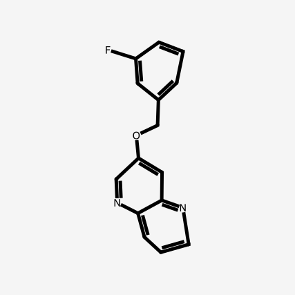 Fc1cccc(COc2cnc3cccnc3c2)c1